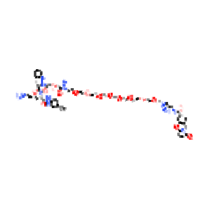 CCc1ccc(NC(=O)[C@H](CCCCN)NC(=O)[C@H](Cc2ccccc2)NC(=O)COCC(=O)NCCOCCOCCOCCOCCOCCOCCOCCOCCn2cc(CNC(=O)C3CCC(CN4C(=O)C=CC4=O)CC3)nn2)cc1